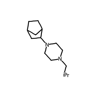 CC(C)CN1CCN(C2CC3CCC2C3)CC1